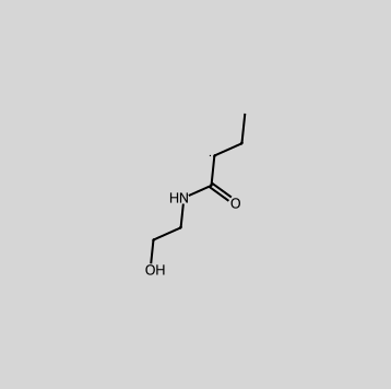 CC[CH]C(=O)NCCO